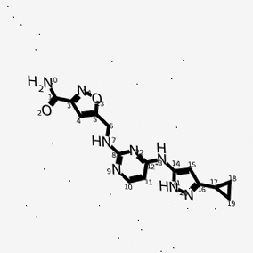 NC(=O)c1cc(CNc2nccc(Nc3cc(C4CC4)n[nH]3)n2)on1